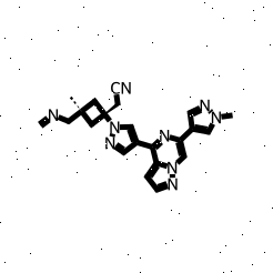 C=NC[C@]1(C)C[C@@](CC#N)(n2cc(-c3nc(-c4cnn(C)c4)cn4nccc34)cn2)C1